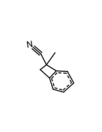 CC1(C#N)Cc2ccccc21